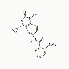 CCn1c(=O)cc(C2CC2)c2cc(N(C)C(=O)c3ccccc3NC)ccc21